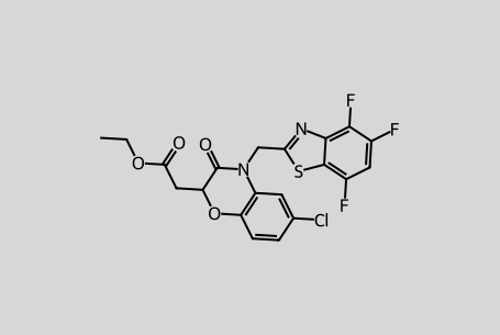 CCOC(=O)CC1Oc2ccc(Cl)cc2N(Cc2nc3c(F)c(F)cc(F)c3s2)C1=O